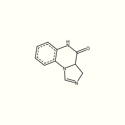 O=C1Nc2ccccc2N2C=NCC12